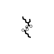 CCCCC(=O)OOC(=O)C(CC)CCCC